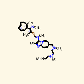 C=NC(=C(/C)SCN(C)c1c(CC)nc2n1C=CC(CN(C)CCN(CC)CCNC)C=C2)/C1=C(\C#N)CC/C=C/C=C\1